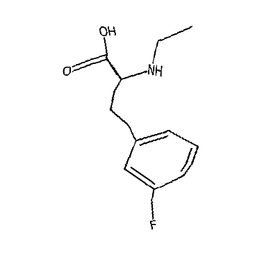 CCNC(Cc1cccc(F)c1)C(=O)O